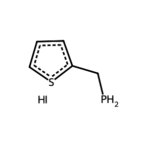 I.PCc1cccs1